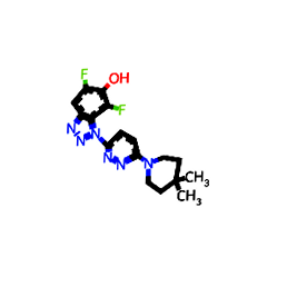 CC1(C)CCN(c2ccc(-n3nnc4cc(F)c(O)c(F)c43)nn2)CC1